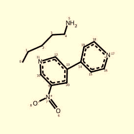 CCCCCN.O=[N+]([O-])c1cncc(-c2ccncc2)c1